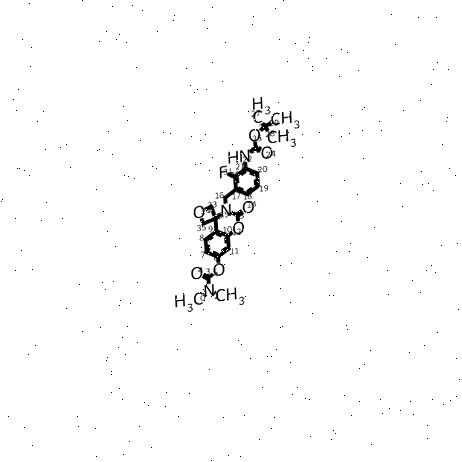 CN(C)C(=O)Oc1ccc2c(c1)OC(=O)N(Cc1cccc(NC(=O)OC(C)(C)C)c1F)C21COC1